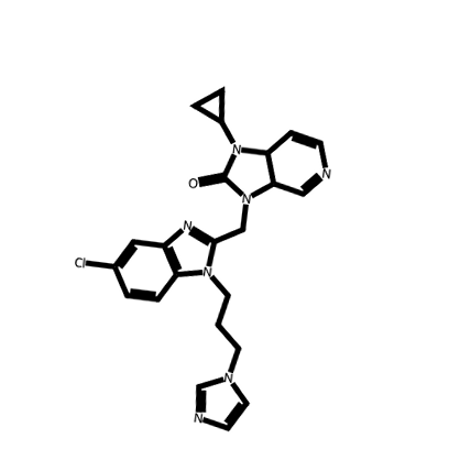 O=C1N(Cc2nc3cc(Cl)ccc3n2CCCn2ccnc2)C2C=NC=CC2N1C1CC1